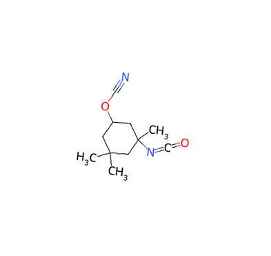 CC1(C)CC(OC#N)CC(C)(N=C=O)C1